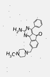 CN1CCN(Cc2ccc3c(c2)-c2nc(N)nc(-c4ccccc4)c2C3=O)CC1